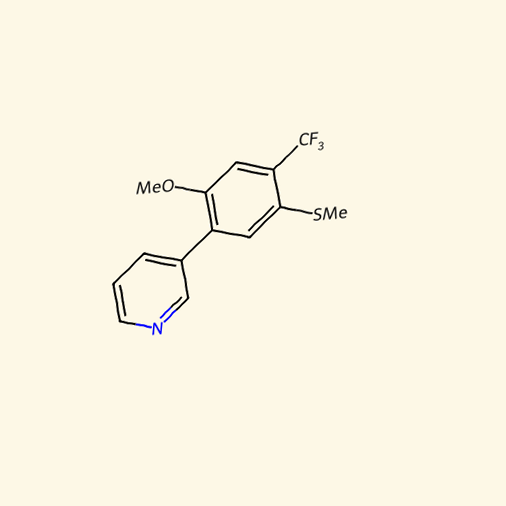 COc1cc(C(F)(F)F)c(SC)cc1-c1cccnc1